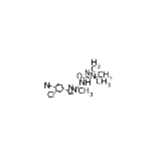 Cc1nc(C(=O)NC[C@H](C)n2ccc(-c3ccc(C#N)c(Cl)c3)n2)cn1C(C)C